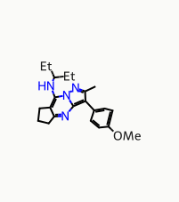 CCC(CC)Nc1c2c(nc3c(-c4ccc(OC)cc4)c(C)nn13)CCC2